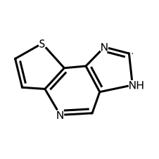 [c]1nc2c(cnc3ccsc32)[nH]1